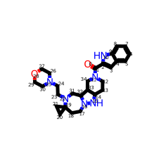 O=C(c1cc2ccccc2[nH]1)N1CCC2NN3CCC4(CC4)N(CCN4CCOCC4)CC3C2C1